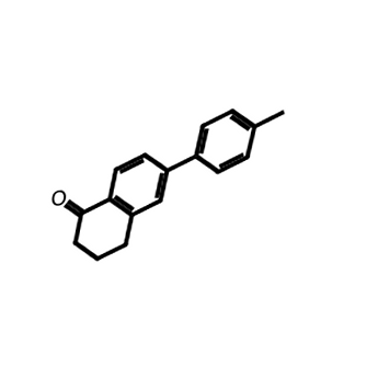 Cc1ccc(-c2ccc3c(c2)CCCC3=O)cc1